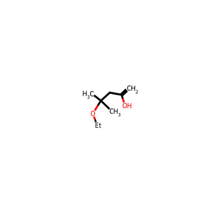 C=C(O)CC(C)(C)OCC